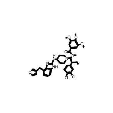 CCC(c1ccc(Cl)c(Cl)c1)C(N1CCC(Nc2nc3c(Cc4ccoc4)cccc3[nH]2)CC1)N(C)C(=O)c1cc(OC)c(OC)c(OC)c1